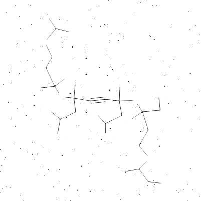 CCC(C)OCCC(C)(CC)OC(C)(C#CC(C)(CC(C)C)OC(C)(C)CCOC(C)C)CC(C)C